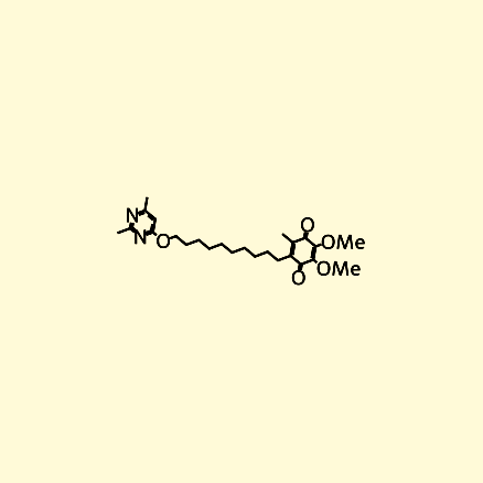 COC1=C(OC)C(=O)C(CCCCCCCCCCOc2cc(C)nc(C)n2)=C(C)C1=O